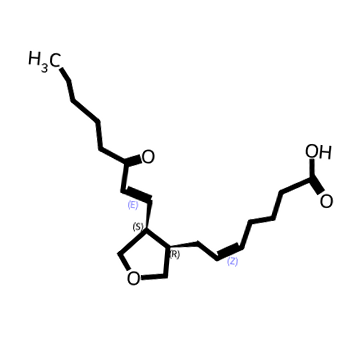 CCCCCC(=O)/C=C/[C@@H]1COC[C@@H]1C/C=C\CCCC(=O)O